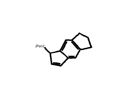 CCCC(C)C1C=Cc2cc3c(cc21)CCC3